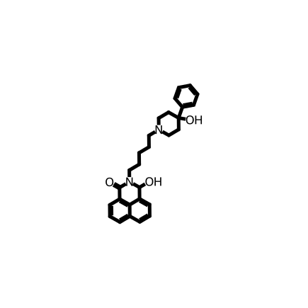 O=C1c2cccc3cccc(c23)C(O)N1CCCCCN1CCC(O)(c2ccccc2)CC1